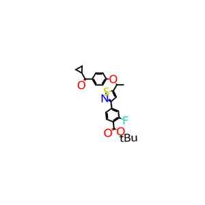 CC(Oc1ccc(C(=O)C2CC2)cc1)c1cc(-c2ccc(C(=O)OC(C)(C)C)c(F)c2)ns1